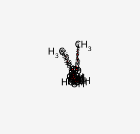 CC#CC#CC#CC#CC#CC#CC#CC(=O)OC[C@H](COP(=O)(O)OC1C(O)[C@@H](OP(=O)(O)O)C(O)[C@@H](O)[C@H]1O)OC(=O)CCCCCCCCCCCCCCC